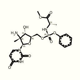 COC(=O)[C@H](C)N[P@@](=O)(OC[C@H]1O[C@@H](n2ccc(=O)[nH]c2=O)[C@](C)(N)[C@@H]1O)Oc1ccccc1